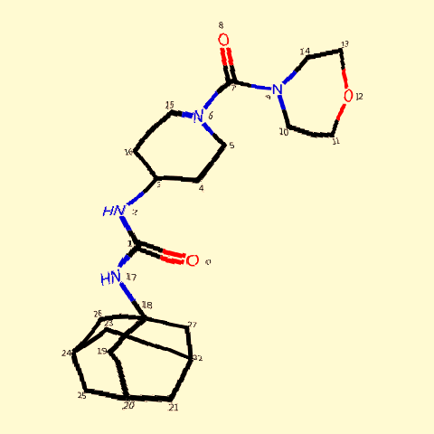 O=C(NC1CCN(C(=O)N2CCOCC2)CC1)NC12CC3CC(CC(C3)C1)C2